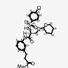 COC(=O)CCc1cccc(NC(=O)[C@H](COC2CCCCO2)NS(=O)(=O)c2ccc(Cl)cc2)c1